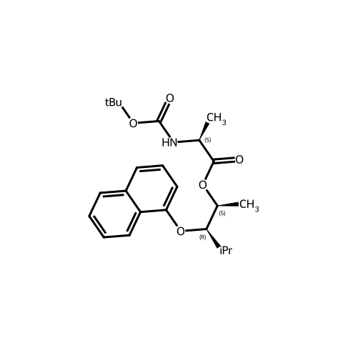 CC(C)[C@@H](Oc1cccc2ccccc12)[C@H](C)OC(=O)[C@H](C)NC(=O)OC(C)(C)C